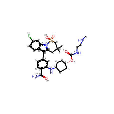 CNCCNC(=O)O[C@H]1CC[C@H](Nc2cc(-c3c4n(c5cc(F)ccc35)S(=O)(=O)CC(C)(C)C4)ccc2C(N)=O)CC1